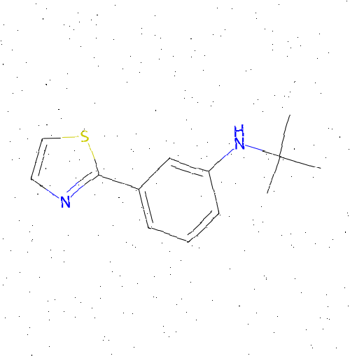 CC(C)(C)Nc1cccc(-c2nccs2)c1